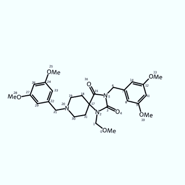 COCN1C(=O)N(Cc2cc(OC)cc(OC)c2)C(=O)C12CCN(Cc1cc(OC)cc(OC)c1)CC2